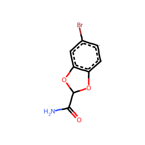 NC(=O)C1Oc2c[c]c(Br)cc2O1